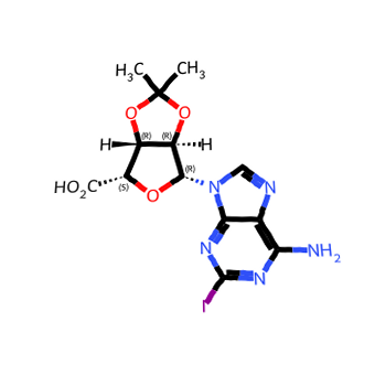 CC1(C)O[C@@H]2[C@@H](O1)[C@H](n1cnc3c(N)nc(I)nc31)O[C@@H]2C(=O)O